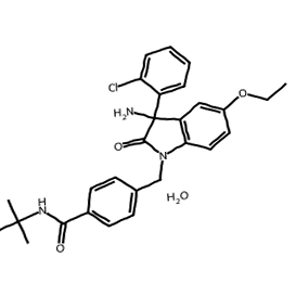 CCOc1ccc2c(c1)C(N)(c1ccccc1Cl)C(=O)N2Cc1ccc(C(=O)NC(C)(C)C)cc1.O